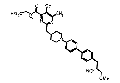 COC[C@H](O)Cc1ccc(-c2ccc(N3CCC(Cc4nc(C)c(O)c(C(=O)NCC(=O)O)n4)CC3)cc2)cc1